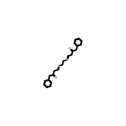 O=C(CC=NCCN=CCC(=O)Cc1ccccc1)Cc1ccccc1